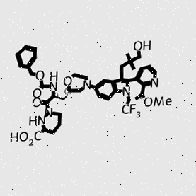 CO[C@@H](C)c1ncccc1-c1c(CC(C)(C)CO)c2cc(N3CCO[C@@H](C[C@H](NC(=O)OCc4ccccc4)C(=O)N4CCCC(C(=O)O)N4)C3)ccc2n1CC(F)(F)F